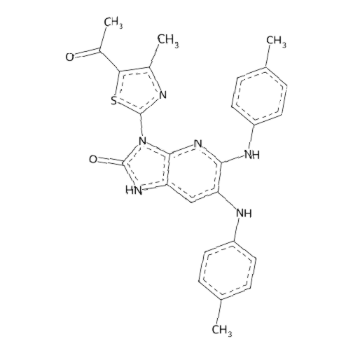 CC(=O)c1sc(-n2c(=O)[nH]c3cc(Nc4ccc(C)cc4)c(Nc4ccc(C)cc4)nc32)nc1C